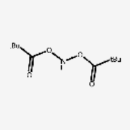 CC(C)(C)C(=O)ONOC(=O)C(C)(C)C